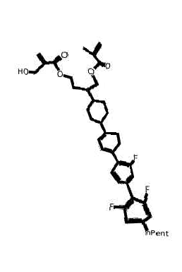 C=C(C)C(=O)OCC(CCOC(=O)C(=C)CO)C1CCC(C2=CC=C(c3ccc(-c4c(F)cc(CCCCC)cc4F)cc3F)CC2)CC1